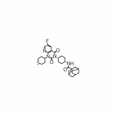 O=C(N[C@H]1CC[C@@H](n2c(=O)c3cc(F)cnc3n(C3CCSCC3)c2=O)CC1)C12CC3CC(CC(C3)C1)C2